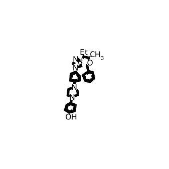 CC[C@@H]([C@H](C)OCc1ccccc1)N1CN(c2ccc(N3CCN(c4ccc(O)cc4)CC3)cc2)C=N1